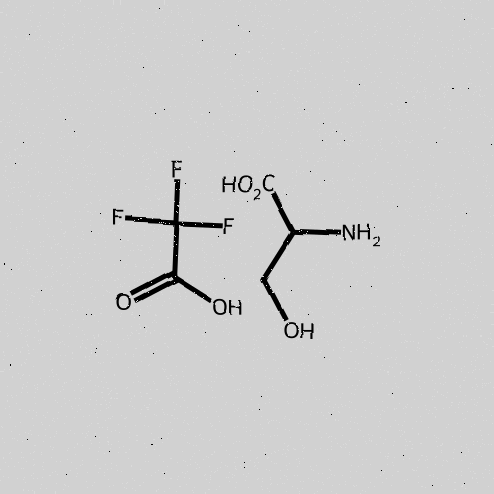 NC(CO)C(=O)O.O=C(O)C(F)(F)F